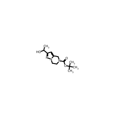 CC(O)c1cc2n(n1)CCN(C(=O)OC(C)(C)C)C2